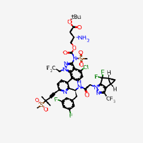 CC(C)(C)OC(=O)C[C@H](N)COC(=O)N(c1nn(CC(F)(F)F)c2c(-c3ccc(C#CC(C)(C)S(C)(=O)=O)nc3[C@H](Cc3cc(F)cc(F)c3)NC(=O)Cn3nc(C(F)(F)F)c4c3C(F)(F)[C@@H]3C[C@H]43)ccc(Cl)c12)S(C)(=O)=O